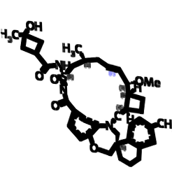 CO[C@H]1/C=C/C[C@H](C)C[S@@](=O)(NC(=O)C2CC(C)(O)C2)=NC(=O)c2ccc3c(c2)N(C[C@@H]2CC[C@H]21)C[C@@]1(CCCc2cc(C)ccc21)CO3